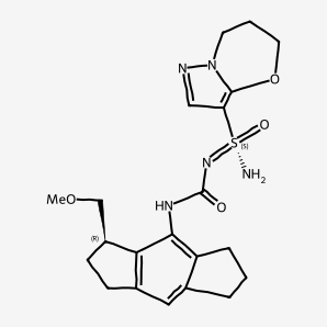 COC[C@@H]1CCc2cc3c(c(NC(=O)N=[S@](N)(=O)c4cnn5c4OCCC5)c21)CCC3